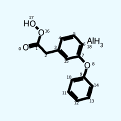 O=C(Cc1cccc(Oc2ccccc2)c1)OO.[AlH3]